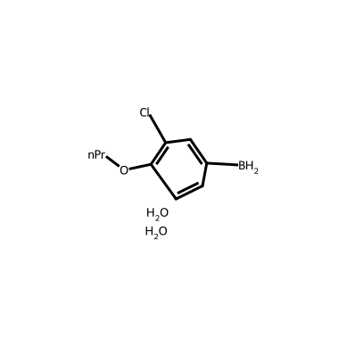 Bc1ccc(OCCC)c(Cl)c1.O.O